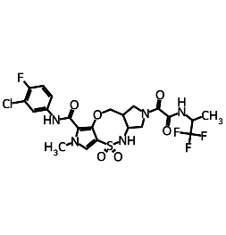 CC(NC(=O)C(=O)N1CC2COc3c(cn(C)c3C(=O)Nc3ccc(F)c(Cl)c3)S(=O)(=O)NC2C1)C(F)(F)F